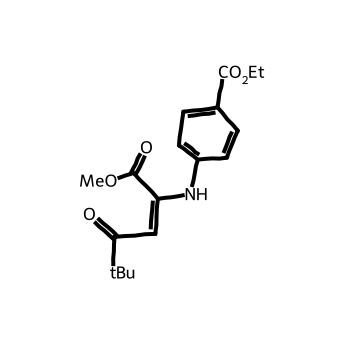 CCOC(=O)c1ccc(NC(=CC(=O)C(C)(C)C)C(=O)OC)cc1